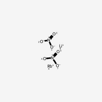 O=[N+]([O-])[O-].O=[N+]([O-])[O-].[Li+].[Rb+]